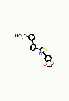 O=C(O)c1cccc(-c2cccc(-c3csc(-c4ccc5c(c4)OCCO5)n3)c2)c1